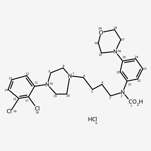 Cl.O=C(O)N(CCCCN1CCN(c2cccc(Cl)c2Cl)CC1)c1cccc(N2CCOCC2)c1